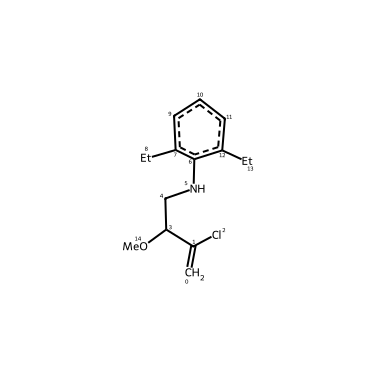 C=C(Cl)C(CNc1c(CC)cccc1CC)OC